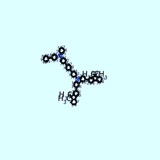 CC1(C)c2ccccc2-c2ccc(-c3ccc4c(c3)c3cc(-c5ccc6c(c5)C(C)(C)c5ccccc5-6)ccc3n4-c3ccc(-c4ccc(-c5ccc(N(c6ccccc6)c6ccc(-c7ccccc7)cc6)cc5)cc4)cc3)cc21